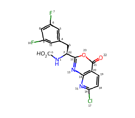 O=C(O)N[C@@H](Cc1cc(F)cc(F)c1)c1nc2nc(Cl)ccc2c(=O)o1